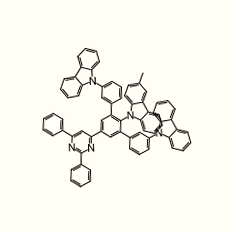 Cc1ccc2c(c1)c1ccccc1n2-c1c(-c2cccc(-n3c4ccccc4c4ccccc43)c2)cc(-c2cc(-c3ccccc3)nc(-c3ccccc3)n2)cc1-c1cccc(-n2c3ccccc3c3ccccc32)c1